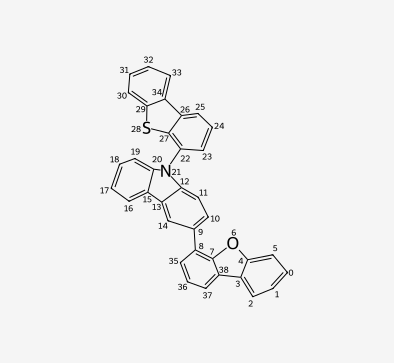 c1ccc2c(c1)oc1c(-c3ccc4c(c3)c3ccccc3n4-c3cccc4c3sc3ccccc34)cccc12